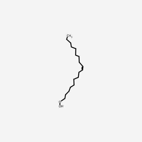 CCCCCCCC/C=C\CCCCCCCCOO